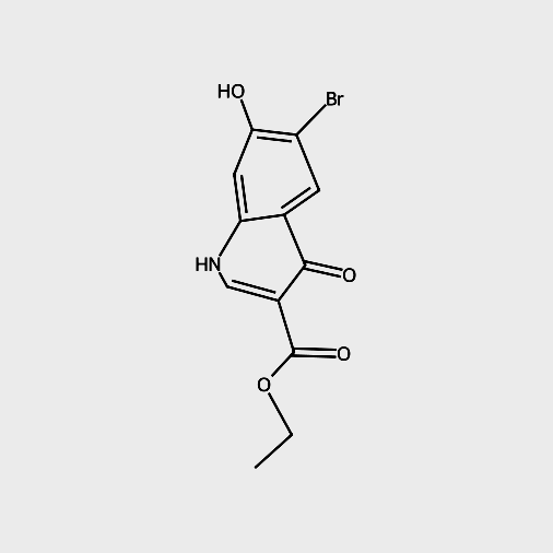 CCOC(=O)c1c[nH]c2cc(O)c(Br)cc2c1=O